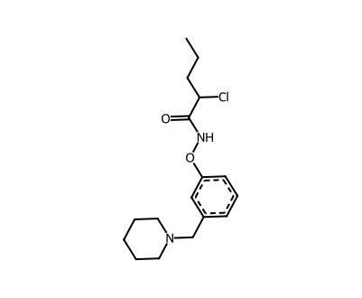 CCCC(Cl)C(=O)NOc1cccc(CN2CCCCC2)c1